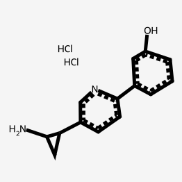 Cl.Cl.NC1CC1c1ccc(-c2cccc(O)c2)nc1